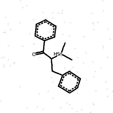 [CH3][SnH]([CH3])[CH](Cc1ccccc1)C(=O)c1ccccc1